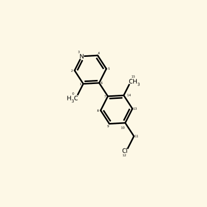 Cc1cnccc1-c1ccc(CCl)cc1C